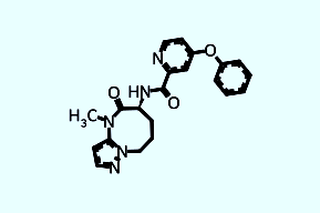 CN1C(=O)[C@@H](NC(=O)c2cc(Oc3ccccc3)ccn2)CCCn2nccc21